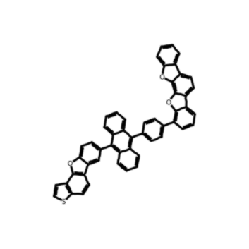 c1ccc2c(c1)oc1c2ccc2c3cccc(-c4ccc(-c5c6ccccc6c(-c6ccc7oc8c9ccsc9ccc8c7c6)c6ccccc56)cc4)c3oc21